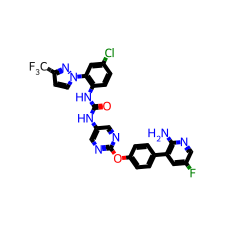 Nc1ncc(F)cc1-c1ccc(Oc2ncc(NC(=O)Nc3ccc(Cl)cc3-n3ccc(C(F)(F)F)n3)cn2)cc1